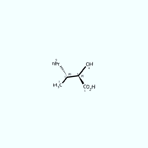 CCC[C@@H](C)[C@@H](O)C(=O)O